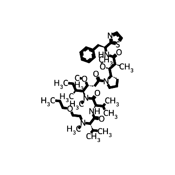 CCCOCCN(C)[C@H](C(=O)N[C@H](C(=O)N(C)[C@@H]([C@@H](C)CC)[C@@H](CC(=O)N1CCC[C@H]1[C@H](OC)[C@@H](C)C(=O)N[C@@H](Cc1ccccc1)c1nccs1)OC)C(C)C)C(C)C